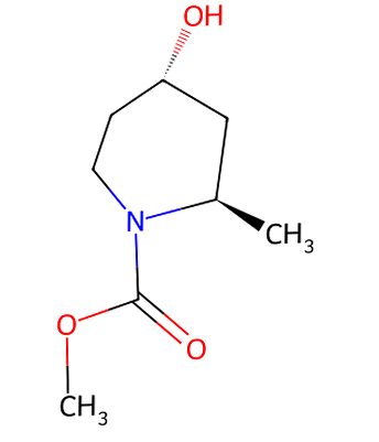 COC(=O)N1CC[C@H](O)C[C@H]1C